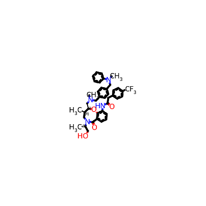 C[C@@H]1CN([C@@H](C)CO)C(=O)c2cccc(NC(=O)Cc3ccc(C(F)(F)F)cc3)c2O[C@@H]1CN(C)Cc1ccc(CN(C)c2ccccc2)cc1